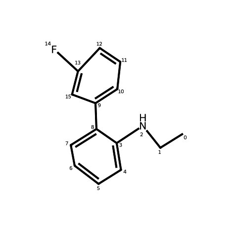 CCNc1ccccc1-c1cccc(F)c1